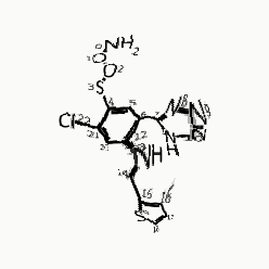 NOOSc1cc(-c2nnn[nH]2)c(NCc2cccs2)cc1Cl